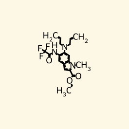 C=CCN(CC=C)c1cc2c(cc1NC(=O)C(F)(F)F)cc(C(=O)OCC)n2C